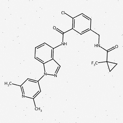 Cc1cc(-n2ncc3c(NC(=O)c4cc(CNC(=O)C5(C(F)(F)F)CC5)ccc4Cl)cccc32)cc(C)n1